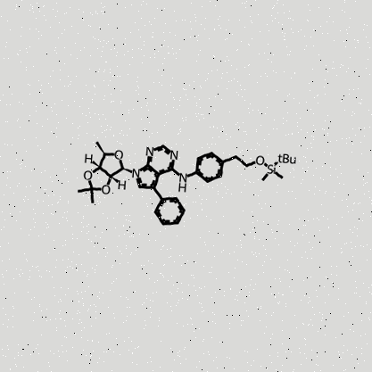 C[C@H]1O[C@@H](n2cc(-c3ccccc3)c3c(Nc4ccc(CCO[Si](C)(C)C(C)(C)C)cc4)ncnc32)[C@@H]2OC(C)(C)O[C@@H]21